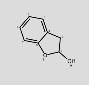 OC1Cc2c[c]ccc2O1